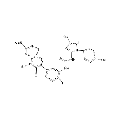 CNc1ncc2cc(-c3ccc(F)c(NC(=O)Nc4cc(C(C)(C)C)nn4-c4ccc(C#N)cc4)c3)c(=O)n(C(C)C)c2n1